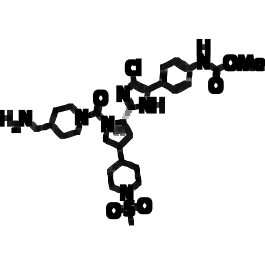 COC(=O)Nc1ccc(-c2[nH]c([C@@H]3CC(C4CCN(S(C)(=O)=O)CC4)CN3C(=O)N3CCC(CN)CC3)nc2Cl)cc1